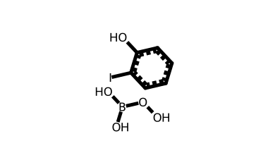 OOB(O)O.Oc1ccccc1I